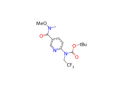 CON(C)C(=O)c1ccc(N(CC(F)(F)F)C(=O)OC(C)(C)C)nc1